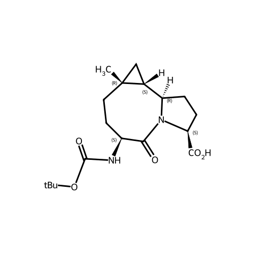 CC(C)(C)OC(=O)N[C@H]1CC[C@]2(C)C[C@@H]2[C@H]2CC[C@@H](C(=O)O)N2C1=O